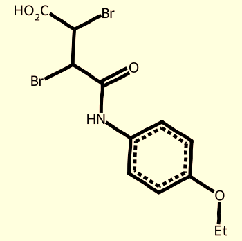 CCOc1ccc(NC(=O)C(Br)C(Br)C(=O)O)cc1